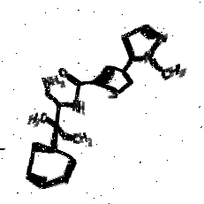 Cn1nccc1-c1csc(C(=O)NC(CN)C(C)(C)c2ccccc2)c1